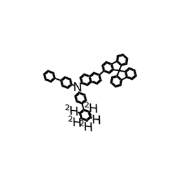 [2H]c1c([2H])c([2H])c(-c2ccc(N(c3ccc(-c4ccccc4)cc3)c3ccc4cc(-c5ccc6c(c5)C5(c7ccccc7-c7ccccc75)c5ccccc5-6)ccc4c3)cc2)c([2H])c1[2H]